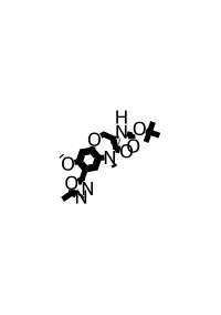 COc1cc2c(cc1-c1nnc(C)o1)N(C)C(=O)[C@@H](NC(=O)OC(C)(C)C)CO2